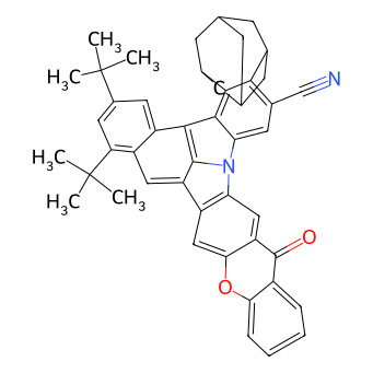 CC(C)(C)c1cc(C(C)(C)C)c2cc3c4cc5oc6ccccc6c(=O)c5cc4n4c5cc(C#N)c6c(c5c(c2c1)c34)C1CC2CC(CC6C2)C1